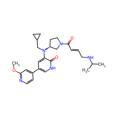 COc1cc(-c2c[nH]c(=O)c(N(CC3CC3)[C@H]3CCN(C(=O)/C=C/CNC(C)C)C3)c2)ccn1